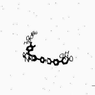 Cc1cc(-c2ncnn3cc(-c4ccc(N5CCC(c6ccc(C7CCC(=O)NC7=O)cc6)CC5)cc4)cc23)ccc1CNC(=O)OC(C)(C)C